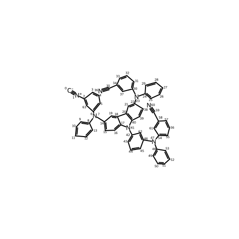 [C-]#[N+]c1cccc(N(c2ccccc2)c2ccc3c(c2)c2cc(N(c4ccccc4)c4cccc(C#N)c4)ccc2n3-c2cccc(N(c3ccccc3)c3cccc(C#N)c3)c2)c1